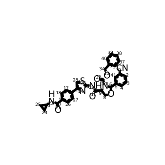 N#Cc1cccc(C2OCC(C(=O)Nc3nc(-c4ccc(C(=O)NC5CC5)cc4)cs3)N2C(=O)OCc2ccccc2)c1